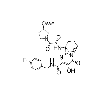 COC1CCN(C(=O)C(=O)NC23CCC(CC2)Cn2c3nc(C(=O)NCc3ccc(F)cc3)c(O)c2=O)C1